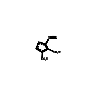 C=Nc1scc(C(=O)O)c1C(=O)OCC